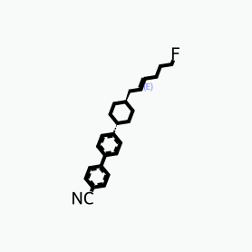 N#Cc1ccc(-c2ccc([C@H]3CC[C@H](C/C=C/CCCF)CC3)cc2)cc1